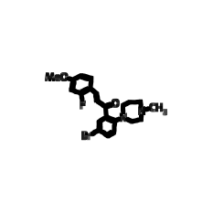 COc1ccc(/C=C/C(=O)c2cc(Br)ccc2N2CCCN(C)CC2)c(F)c1